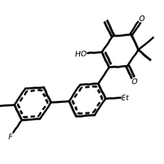 C=C1C(=O)C(C)(C)C(=O)C(c2cc(-c3ccc(Cl)c(F)c3)ccc2CC)=C1O